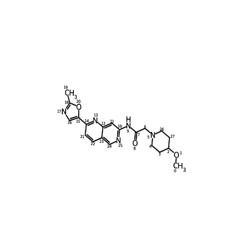 COC1CCN(CC(=O)Nc2cc3nc(-c4cnc(C)o4)ccc3cn2)CC1